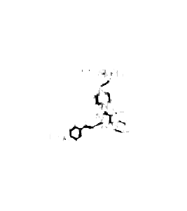 COc1ccc(/C=C/c2nc(N3CCOCC3)c(N)c(N3CCN(CCN(C)C)CC3)n2)cc1